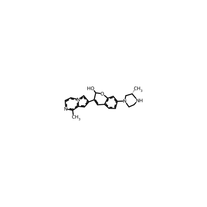 Cc1nccn2cc(C3=Cc4ccc(N5CCN[C@@H](C)C5)cc4OC3O)cc12